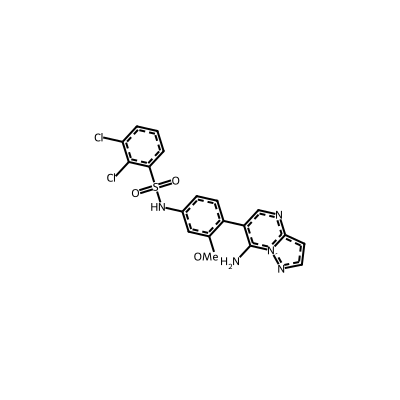 COc1cc(NS(=O)(=O)c2cccc(Cl)c2Cl)ccc1-c1cnc2ccnn2c1N